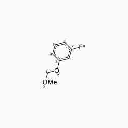 COCOc1cc[c]c(F)c1